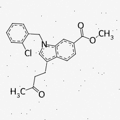 COC(=O)c1ccc2c(CCC(C)=O)cn(Cc3ccccc3Cl)c2c1